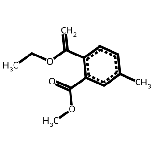 C=C(OCC)c1ccc(C)cc1C(=O)OC